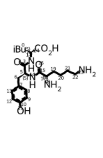 CC[C@H](C)[C@H](NC(=O)[C@H](Cc1ccc(O)cc1)NC(=O)[C@@H](N)CCCCN)C(=O)O